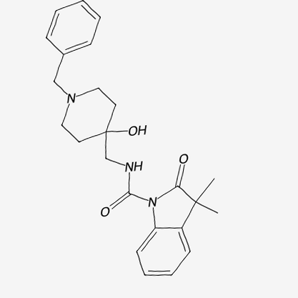 CC1(C)C(=O)N(C(=O)NCC2(O)CCN(Cc3ccccc3)CC2)c2ccccc21